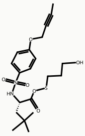 CC#CCOc1ccc(S(=O)(=O)N[C@@H](CC(C)(C)C)C(=O)OSCCCO)cc1